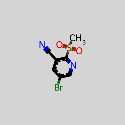 CS(=O)(=O)c1ncc(Br)cc1C#N